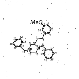 COc1cccc(CCC2CN(Cc3ccccc3)CCN2Cc2ccccc2)c1